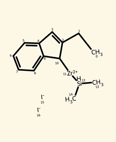 CCC1=Cc2ccccc2[CH]1[Zr+2][SiH](C)C.[I-].[I-]